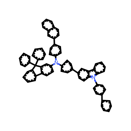 c1ccc(-c2ccc(-n3c4ccccc4c4cc(-c5ccc(N(c6ccc(-c7ccc8ccccc8c7)cc6)c6ccc7c(c6)C(c6ccccc6)(c6ccccc6)c6ccccc6-7)cc5)ccc43)cc2)cc1